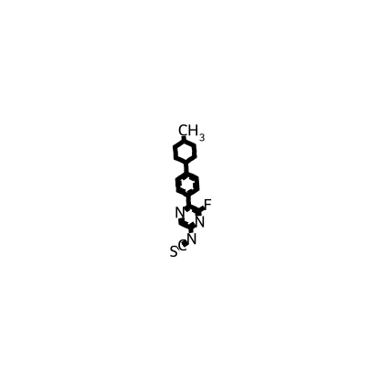 CC1CCC(c2ccc(-c3ncc(N=C=S)nc3F)cc2)CC1